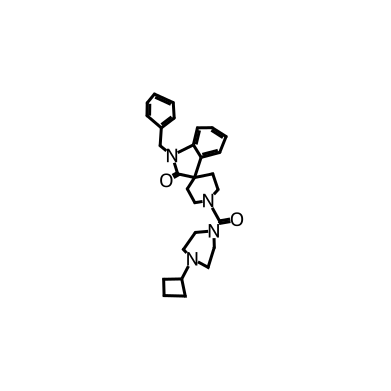 O=C(N1CCN(C2CCC2)CC1)N1CCC2(CC1)C(=O)N(Cc1ccccc1)c1ccccc12